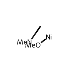 CNC.C[O][Ni]